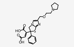 O=C(O)C=C(C(=O)O)C1(c2ccccc2)Cn2cc(COCCN3CCCC3)nc2S1